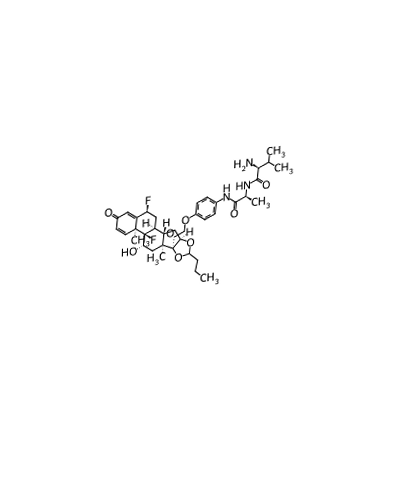 CCCC1O[C@@H]2C[C@H]3[C@@H]4C[C@H](F)C5=CC(=O)C=C[C@]5(C)[C@@]4(F)[C@@H](O)C[C@]3(C)[C@]2(C(=O)COc2ccc(NC(=O)[C@H](C)NC(=O)[C@@H](N)C(C)C)cc2)O1